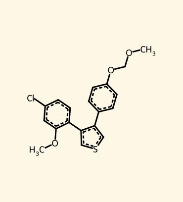 COCOc1ccc(-c2cscc2-c2ccc(Cl)cc2OC)cc1